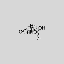 CC(C)CC[C@@H](O)[C@](C)(O)[C@H]1CC[C@H]2[C@@H]3CCC4=CC(=O)CC[C@]4(C)[C@H]3CC[C@]12C